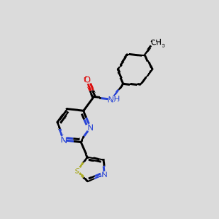 CC1CCC(NC(=O)c2ccnc(-c3cncs3)n2)CC1